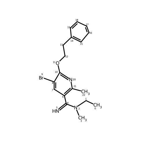 CCN(C)C(=N)c1cc(Br)c(OCCc2ccccc2)nc1C